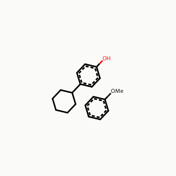 COc1ccccc1.Oc1ccc(C2CCCCC2)cc1